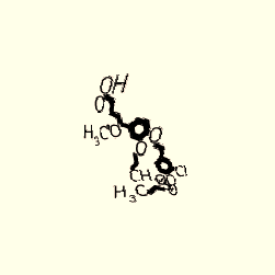 CCCCOc1cc(C(CC=CC(=O)O)OCC)ccc1OCCc1ccc(OS(=O)(=O)CCCC)c(Cl)c1